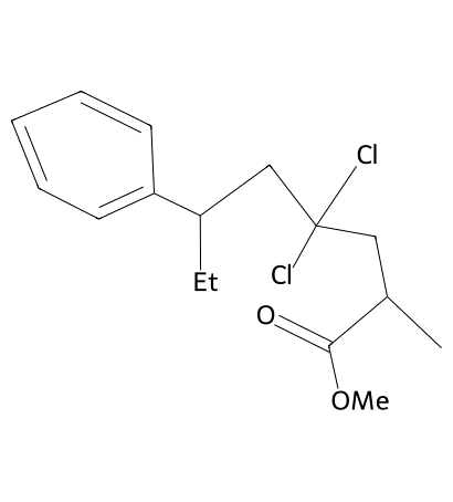 CCC(CC(Cl)(Cl)CC(C)C(=O)OC)c1ccccc1